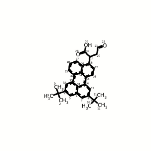 CC(C)(C)c1cc2cc(C(C)(C)C)cc3c4ccc(C(CC=O)C(=O)O)c5cccc(c(c1)c23)c54